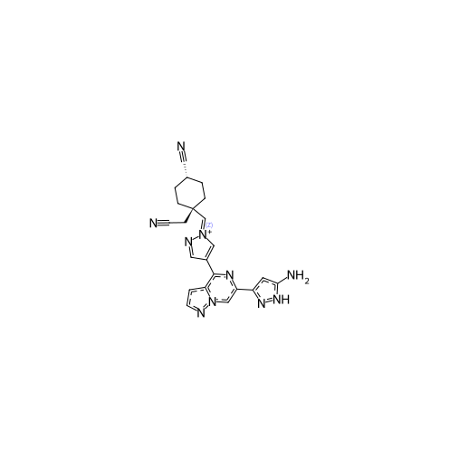 N#CC[C@]1(/C=[N+]2/C=C(c3nc(-c4cc(N)[nH]n4)cn4nccc34)C=N2)CC[C@@H](C#N)CC1